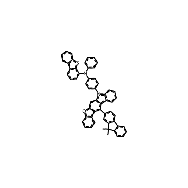 CC1(C)c2ccccc2-c2ccc(-c3c4c(cc5c3c3ccccc3n5-c3ccc(N(c5ccccc5)c5cccc6c5sc5ccccc56)cc3)oc3ccccc34)cc21